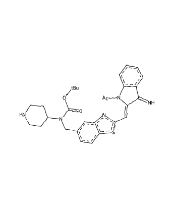 CC(=O)N1/C(=C\c2nc3cc(CN(C(=O)OC(C)(C)C)C4CCNCC4)ccc3s2)C(=N)c2ccccc21